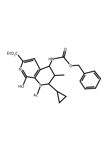 CCOC(=O)c1cc2c(c(O)n1)N(C(C)=O)C(C1CC1)C(C)C2NC(=O)OCc1ccccc1